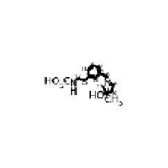 CC1(O)CCN(Cc2cccc(CCNC(=O)O)c2)C1